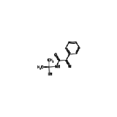 CCC(C)(C)NC(=O)C(=O)c1ccccc1